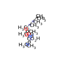 CC(C)=CCC/C(C)=C/CC/C(C)=C/CCC1(C)CCc2c(cc(C)c(OC(=O)C(CC(=O)O)[n+]3c(/C=C/c4ccc(N(C)C)cc4)ccc4ccccc43)c2C)O1